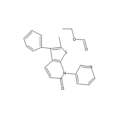 CCOC=O.Cc1sc2c(ccc(=O)n2-c2cccnc2)c1-c1ccccc1